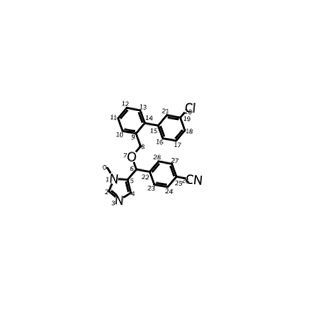 Cn1cncc1C(OCc1ccccc1-c1cccc(Cl)c1)c1ccc(C#N)cc1